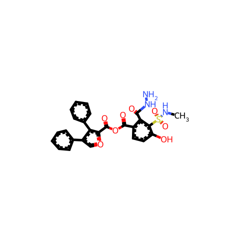 CNS(=O)(=O)c1c(O)ccc(C(=O)OC(=O)c2occ(-c3ccccc3)c2-c2ccccc2)c1C(=O)NN